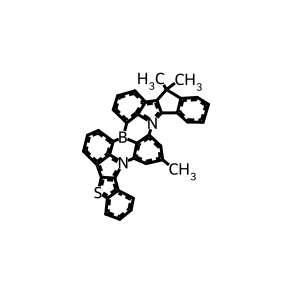 Cc1cc2c3c(c1)-n1c4c(cccc4c4sc5ccccc5c41)B3c1cccc3c4c(n-2c13)-c1ccccc1C4(C)C